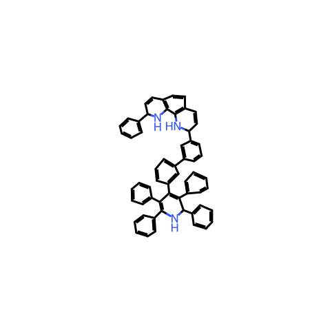 C1=CC(c2ccccc2)Nc2c1ccc1c2NC(c2cccc(-c3cccc(C4=C(c5ccccc5)C(c5ccccc5)NC(c5ccccc5)=C4c4ccccc4)c3)c2)C=C1